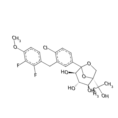 COc1ccc(Cc2cc(C34OC[C@](C(C)(C)O)(O3)[C@@H](O)[C@H](O)[C@H]4O)ccc2Cl)c(F)c1F